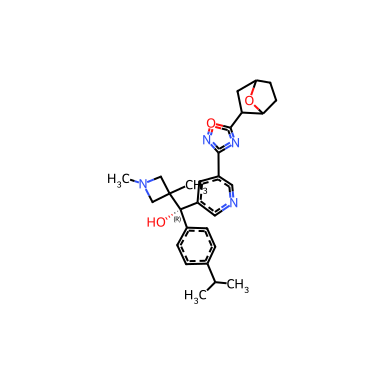 CC(C)c1ccc([C@](O)(c2cncc(-c3noc(C4CC5CCC4O5)n3)c2)C2(C)CN(C)C2)cc1